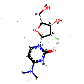 CN(C)c1ccn([C@@H]2O[C@H](CO)[C@H](O)[C@@H]2F)c(=O)n1